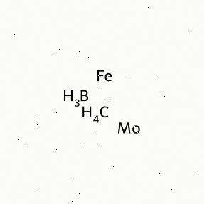 B.C.[Fe].[Mo]